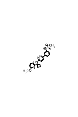 COc1cccc(C2(Nc3ccc(-c4cccc(NS(C)(=O)=O)c4)nn3)CCC2)n1